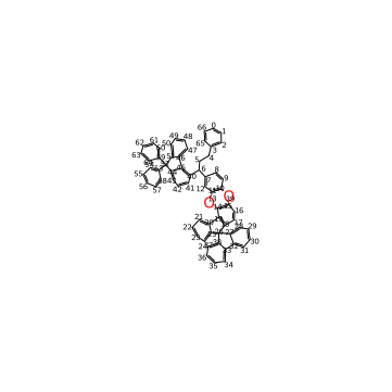 c1ccc(CCC(c2ccc3c(c2)Oc2c(ccc4c2-c2ccccc2C42c4ccccc4-c4ccccc42)O3)c2cccc3c2-c2ccccc2C3(c2ccccc2)c2ccccc2)cc1